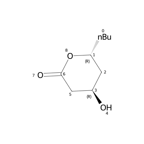 CCCC[C@@H]1C[C@@H](O)CC(=O)O1